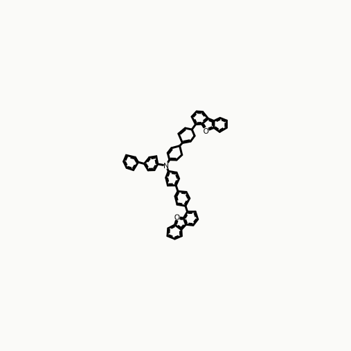 C1=CC(c2cccc3c2oc2ccccc23)CC=C1C1C=CC(N(c2ccc(-c3ccccc3)cc2)c2ccc(-c3ccc(-c4cccc5c4oc4ccccc45)cc3)cc2)=CC1